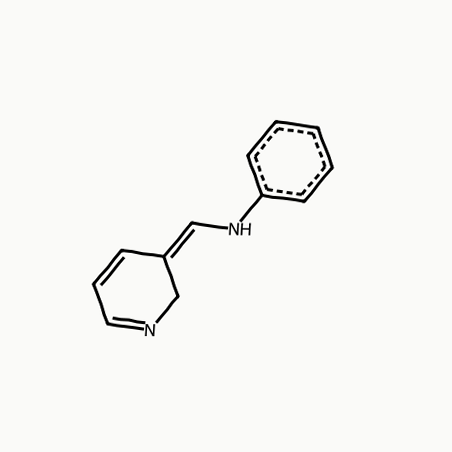 C1=CC(=CNc2ccccc2)CN=C1